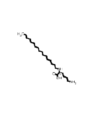 CCCCCCCCCCCCCCCCCN[C@@H](CCCCN)C(=O)O